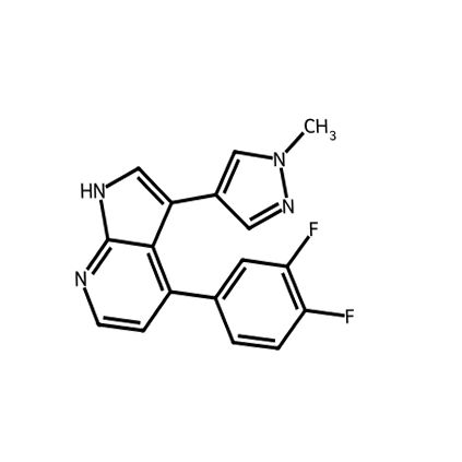 Cn1cc(-c2c[nH]c3nccc(-c4ccc(F)c(F)c4)c23)cn1